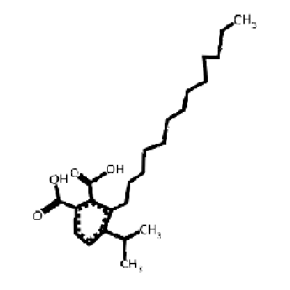 CCCCCCCCCCCCCc1c(C(C)C)ccc(C(=O)O)c1C(=O)O